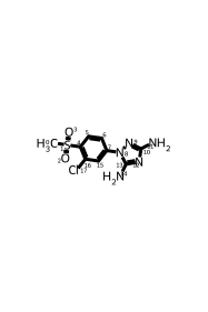 CS(=O)(=O)c1ccc(-n2nc(N)nc2N)cc1Cl